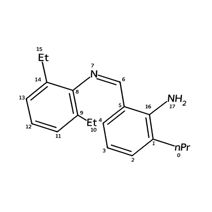 CCCc1cccc(/C=N\c2c(CC)cccc2CC)c1N